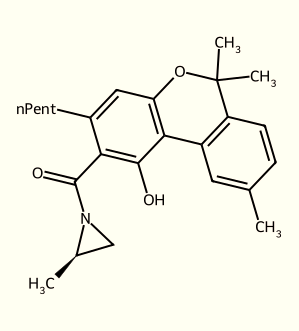 CCCCCc1cc2c(c(O)c1C(=O)N1C[C@H]1C)-c1cc(C)ccc1C(C)(C)O2